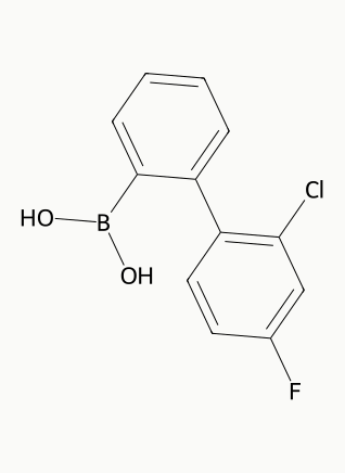 OB(O)c1ccccc1-c1ccc(F)cc1Cl